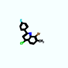 Cc1ccc2c(Cl)cc(-c3ccc(F)cc3)nc2c1Br